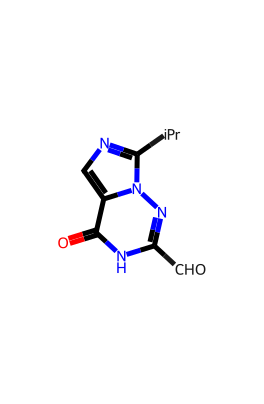 CC(C)c1ncc2c(=O)[nH]c(C=O)nn12